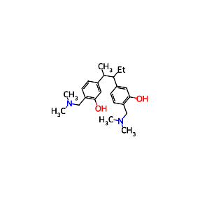 CCC(c1ccc(CN(C)C)c(O)c1)C(C)c1ccc(CN(C)C)c(O)c1